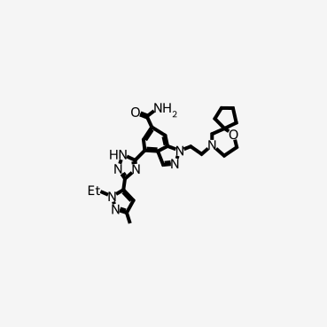 CCn1nc(C)cc1-c1n[nH]c(-c2cc(C(N)=O)cc3c2cnn3CCN2CCOC3(CCCC3)C2)n1